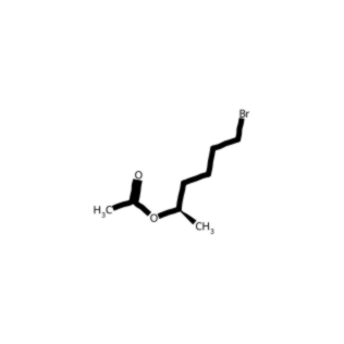 CC(=O)O[C@H](C)CCCCBr